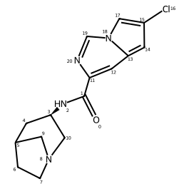 O=C(N[C@@H]1CC2CCN(C2)C1)c1cc2cc(Cl)cn2cn1